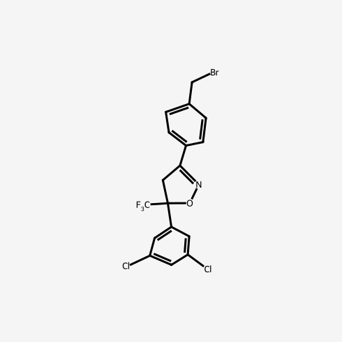 FC(F)(F)C1(c2cc(Cl)cc(Cl)c2)CC(c2ccc(CBr)cc2)=NO1